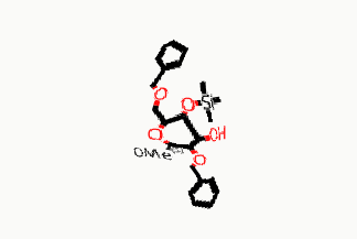 CO[C@H]1OC(COCc2ccccc2)C(O[Si](C)(C)C)C(O)C1OCc1ccccc1